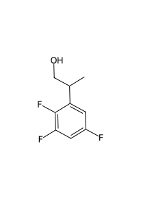 CC(CO)c1cc(F)cc(F)c1F